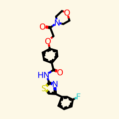 O=C(Nc1nc(-c2cccc(F)c2)cs1)c1ccc(OCC(=O)N2CCOCC2)cc1